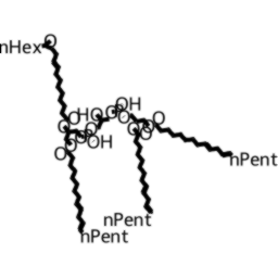 CCCCC/C=C/C/C=C/CCCCCCCC(=O)OCC(COP(O)OCC(O)COP(O)OCC(COC(=O)CCCCCCC/C=C/C/C=C/CCCCC)OC(=O)CCCCCCC/C=C/CC1OC1CCCCCC)OC(=O)CCCCCCC/C=C/C/C=C/CCCCC